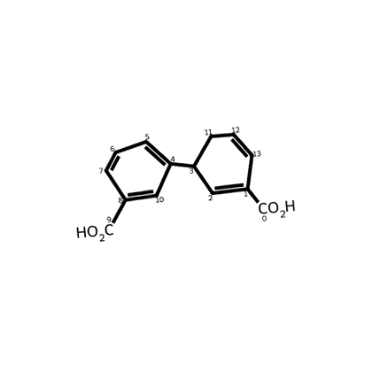 O=C(O)C1=CC(c2cccc(C(=O)O)c2)CC=C1